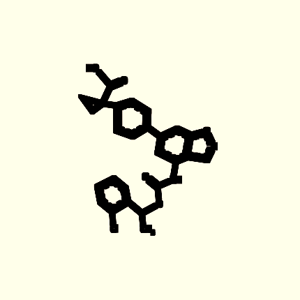 CC(OC(=O)Nc1cc(-c2ccc(C3(C(=O)O)CC3)cc2)cc2oncc12)c1ccccc1Cl